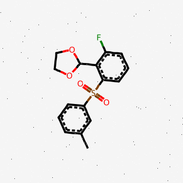 Cc1cccc(S(=O)(=O)c2cccc(F)c2C2OCCO2)c1